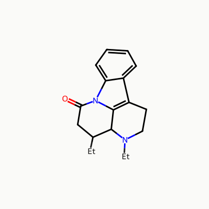 CCC1CC(=O)n2c3c(c4ccccc42)CCN(CC)C31